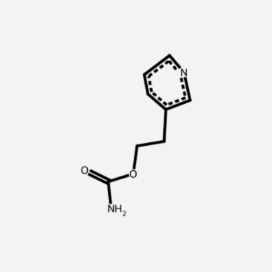 NC(=O)OCCc1cccnc1